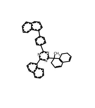 CC1(c2nc(-c3ccc(-c4cccc5ccccc45)cc3)nc(-c3cccc4ccccc34)n2)CC=CC2=C1CCC=C2